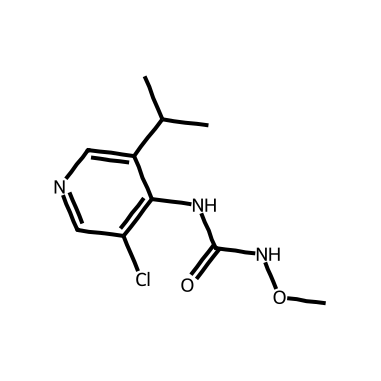 CONC(=O)Nc1c(Cl)cncc1C(C)C